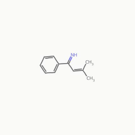 CC(C)=CC(=N)c1ccccc1